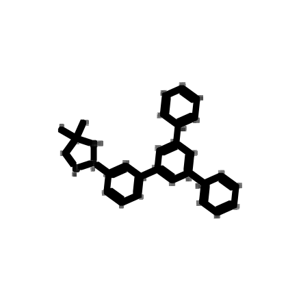 CC1(C)COB(c2cccc(-c3cc(-c4ccccc4)cc(-c4ccccc4)c3)c2)O1